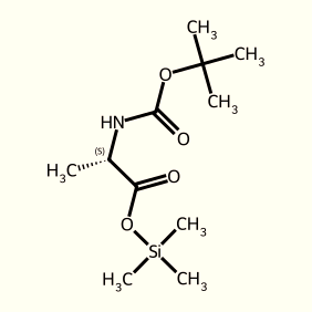 C[C@H](NC(=O)OC(C)(C)C)C(=O)O[Si](C)(C)C